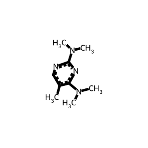 Cc1cnc(N(C)C)nc1N(C)C